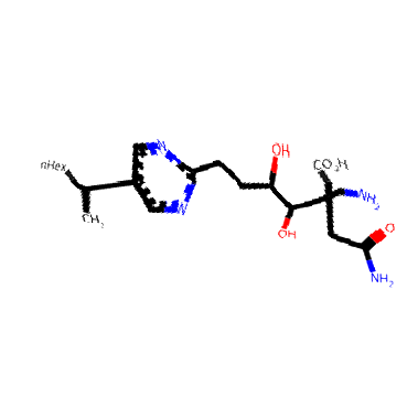 CCCCCCC(C)c1cnc(CCC(O)C(O)C(N)(CC(N)=O)C(=O)O)nc1